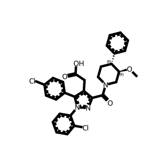 CO[C@H]1CN(C(=O)c2nn(-c3ccccc3Cl)c(-c3ccc(Cl)cc3)c2CC(=O)O)CC[C@@H]1c1ccccc1